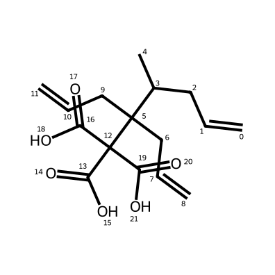 C=CCC(C)C(CC=C)(CC=C)C(C(=O)O)(C(=O)O)C(=O)O